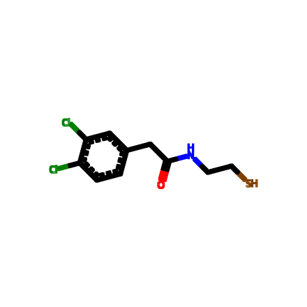 O=C(Cc1ccc(Cl)c(Cl)c1)NCCS